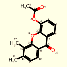 CC(=O)Oc1cccc2c(=O)c3ccc(C)c(C)c3oc12